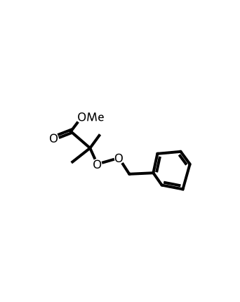 COC(=O)C(C)(C)OOCc1ccccc1